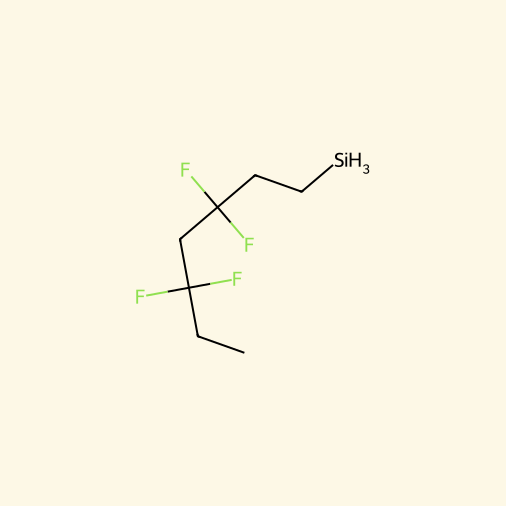 CCC(F)(F)CC(F)(F)CC[SiH3]